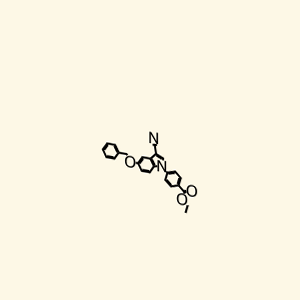 CCOC(=O)c1ccc(-n2cc(C#N)c3cc(OCc4ccccc4)ccc32)cc1